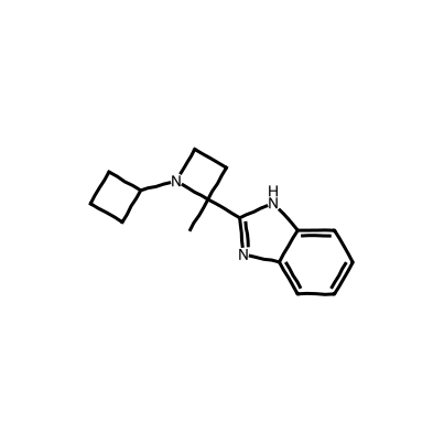 CC1(c2nc3ccccc3[nH]2)CCN1C1CCC1